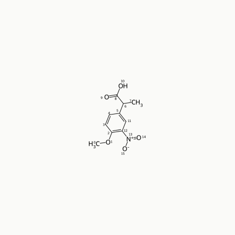 COc1ccc(C(C)C(=O)O)cc1[N+](=O)[O-]